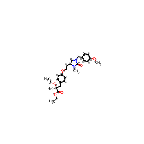 CCOC(=O)C(C)(Cc1ccc(OCCC2CN(Cc3ccc(OC)cc3)C(=O)N2C)cc1)OCC